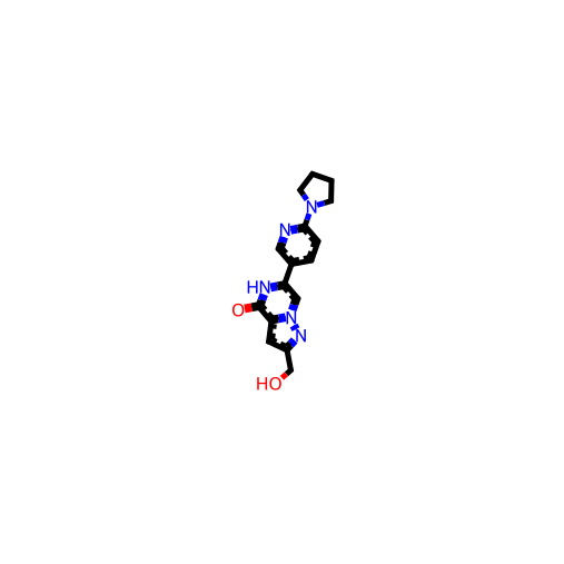 O=c1[nH]c(-c2ccc(N3CCCC3)nc2)cn2nc(CO)cc12